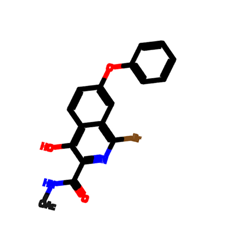 CC(=O)ONC(=O)c1nc(Br)c2cc(Oc3ccccc3)ccc2c1O